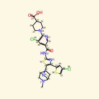 CN1CC2CCC1CN2c1sc(NC(=O)c2cnc(N3CCC(C(=O)O)CC3)c(Cl)c2)nc1-c1cc(Cl)cs1